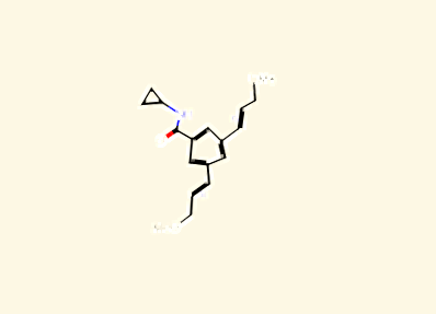 COC/C=C/c1cc(/C=C/COC)cc(C(=O)NC2CC2)c1